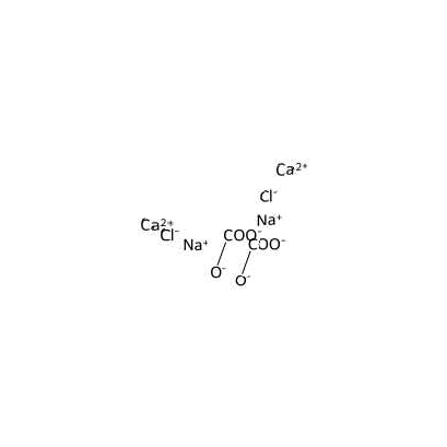 O=C([O-])[O-].O=C([O-])[O-].[Ca+2].[Ca+2].[Cl-].[Cl-].[Na+].[Na+]